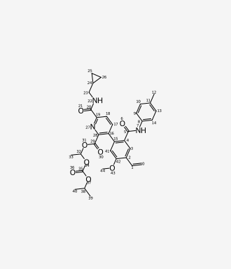 C=Cc1cc(C(=O)Nc2ccc(C)cc2)c(-c2ccc(C(=O)NCC3CC3)nc2C(=O)OC(C)OC(=O)OC(C)C)cc1OC